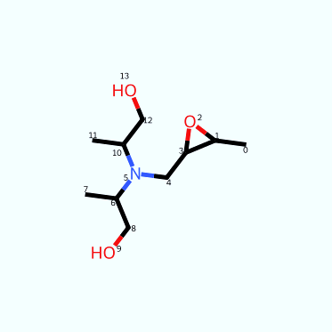 CC1OC1CN(C(C)CO)C(C)CO